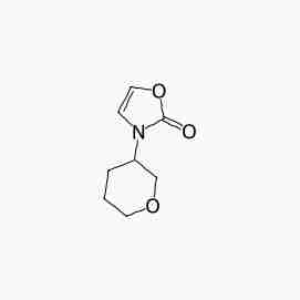 O=c1occn1C1CCCOC1